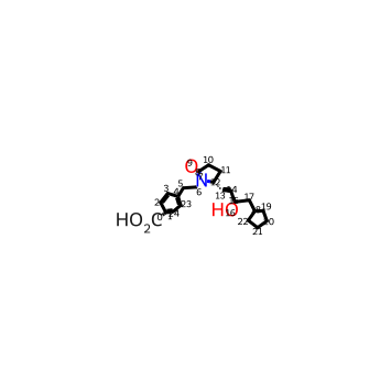 O=C(O)c1ccc(CCN2C(=O)CC[C@@H]2/C=C/[C@@H](O)CC2CCCC2)cc1